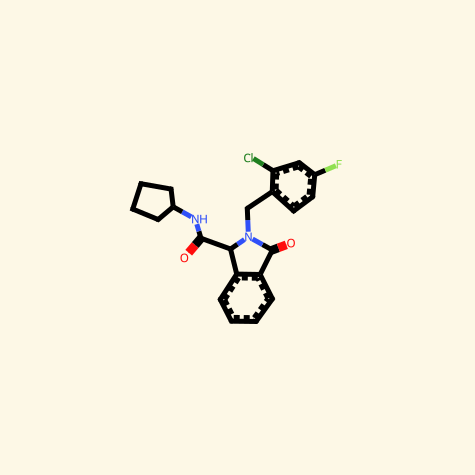 O=C(NC1CCCC1)C1c2ccccc2C(=O)N1Cc1ccc(F)cc1Cl